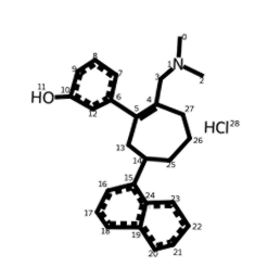 CN(C)CC1=C(c2cccc(O)c2)CC(c2cccc3ccccc23)CCC1.Cl